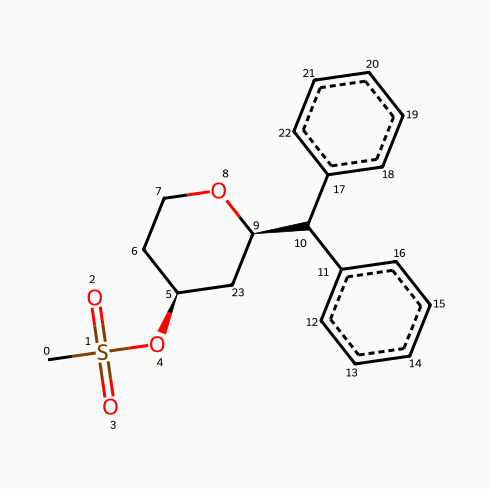 CS(=O)(=O)O[C@H]1CCO[C@@H](C(c2ccccc2)c2ccccc2)C1